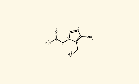 NCc1c(N)ncn1CC(N)=O